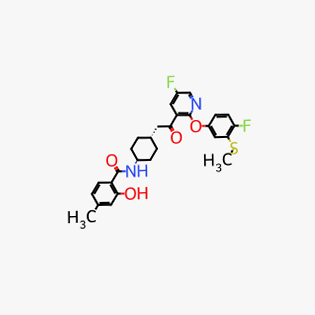 CSc1cc(Oc2ncc(F)cc2C(=O)C[C@H]2CC[C@@H](NC(=O)c3ccc(C)cc3O)CC2)ccc1F